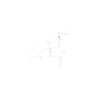 CON=C(C)C1(NO)C(=O)N(C)N=C1C1CC1